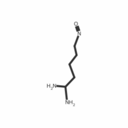 NC(N)CCCCN=O